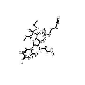 CCOP(=O)(OCC)[C@@H](F)[C@H]1O[C@@H](n2cc(C)c(=O)[nH]c2=O)[C@H](OCCOC)[C@@H]1OP(N)OCCC#N